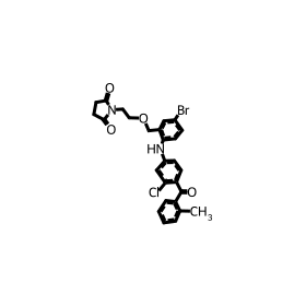 Cc1ccccc1C(=O)c1ccc(Nc2ccc(Br)cc2COCCN2C(=O)CCC2=O)cc1Cl